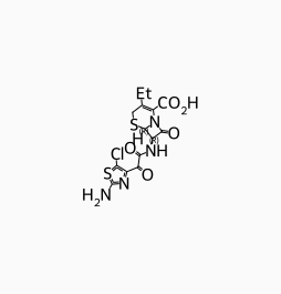 CCC1=C(C(=O)O)N2C(=O)[C@@H](NC(=O)C(=O)c3nc(N)sc3Cl)[C@H]2SC1